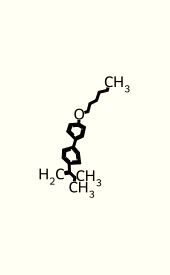 C=C(c1ccc(-c2ccc(OCCCCCC)cc2)cc1)C(C)C